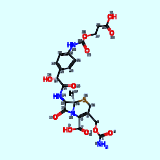 NC(=O)OCC1=C(C(=O)O)N2C(=O)[C@@H](NC(=O)[C@H](O)c3ccc(NC(=O)OCCC(=O)O)cc3)[C@H]2SC1